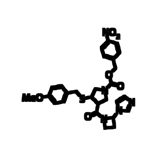 COc1ccc(CSC2CN(C(=O)OCc3ccc([N+](=O)[O-])cc3)CC2C(=O)N2CCC2n2ccnc2)cc1